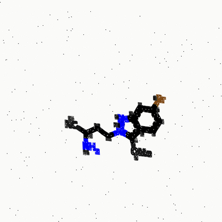 COc1c2ccc(Br)cc2nn1CCC(N)C#N